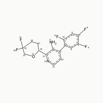 Nc1c(-c2cc(F)c(F)cc2F)ccnc1C1CCC(F)(F)CO1